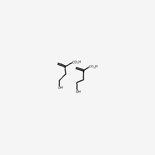 C=C(CCO)C(=O)O.C=C(CCO)C(=O)O